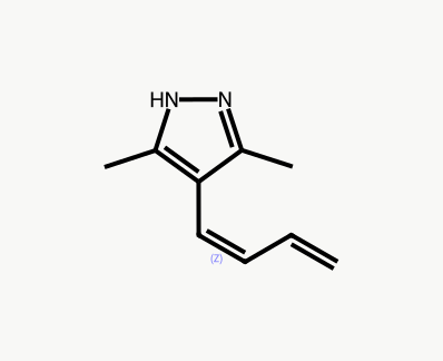 C=C/C=C\c1c(C)n[nH]c1C